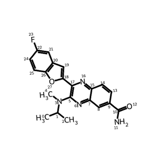 CC(C)N(C)c1nc2cc(C(N)=O)ccc2nc1-c1cc2cc(F)ccc2o1